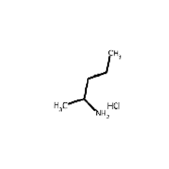 CCCC(C)N.Cl